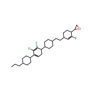 CCCC1CCC(C2=CCC(C3CCC(CCC4C=C(F)C(C5CO5)CC4)CC3)C(F)=C2F)CC1